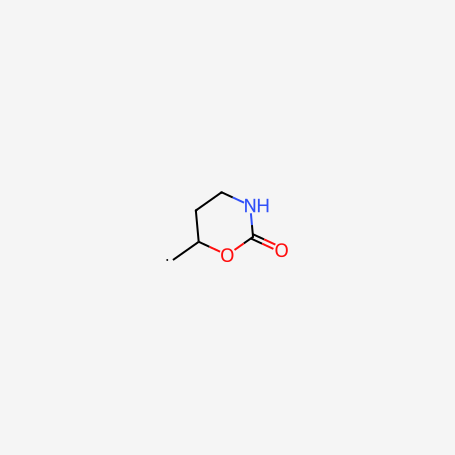 [CH2]C1CCNC(=O)O1